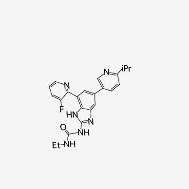 CCNC(=O)Nc1nc2cc(-c3ccc(C(C)C)nc3)cc(-c3ncccc3F)c2[nH]1